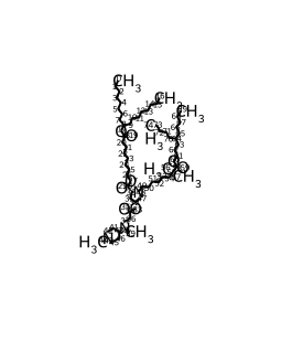 CCCCCCCCC(CCCCCCCC)OC(=O)CCCCCCCOC(=O)[C@@H]1C[C@H](OC(=O)CCN(C)C2CCN(C)CC2)CN1CCCCCCC(C)(C)C(=O)OCCCC(CCCCC)CCCCC